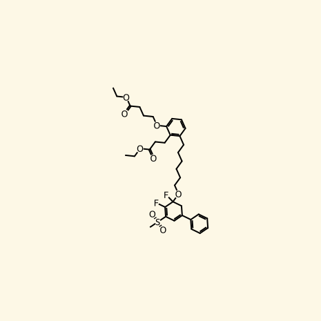 CCOC(=O)CCCOc1cccc(CCCCCCOC2(F)CC(c3ccccc3)=CC(S(C)(=O)=O)=C2F)c1CCC(=O)OCC